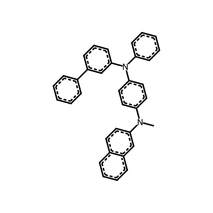 CN(c1ccc(N(c2ccccc2)c2cccc(-c3ccccc3)c2)cc1)c1ccc2ccccc2c1